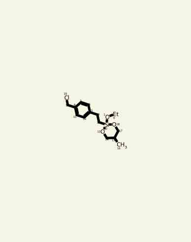 CCO[Si]1(CCc2ccc(CCl)cc2)OCC(C)CO1